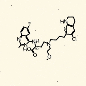 COCCN(CCCCc1nc2c(cc1Cl)CCCN2)CC[C@H](Nc1nc(C)nc2ccc(F)cc12)C(=O)O